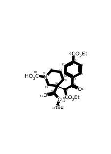 CCOC(=O)c1ccc(C(=O)C(C(=O)OCC)[C@]2(C(=O)OC(C)(C)C)CCCN(C(=O)O)C2)cc1